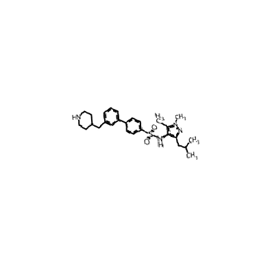 Cc1c(NS(=O)(=O)c2ccc(-c3cccc(CC4CCNCC4)c3)cc2)c(CC(C)C)nn1C